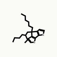 CCCCCCC1(CC(CC)CCCC)c2ccsc2-c2sccc21